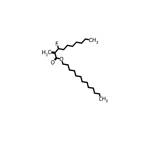 C=C(C(=O)OCCCCCCCCCCCCC)C(F)CCCCCCC